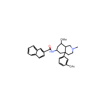 COC1CC(NC(=O)c2ccc3ccccc3c2)CC2(c3cccc(OC(C)=O)c3)CCN(C)CC12